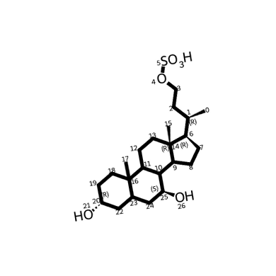 C[C@H](CCOS(=O)(=O)O)[C@H]1CCC2C3C(CC[C@@]21C)C1(C)CC[C@@H](O)CC1C[C@@H]3O